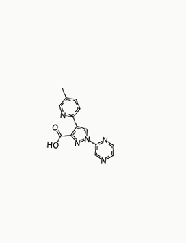 Cc1ccc(-c2cn(-c3cnccn3)nc2C(=O)O)nc1